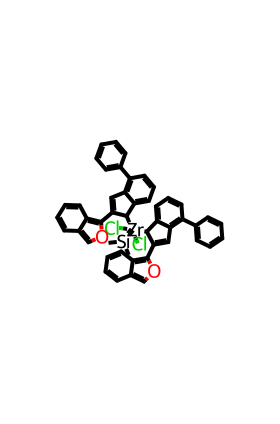 C[Si](C)=[Zr]([Cl])([Cl])([CH]1C(c2occ3ccccc23)=Cc2c(-c3ccccc3)cccc21)[CH]1C(c2occ3ccccc23)=Cc2c(-c3ccccc3)cccc21